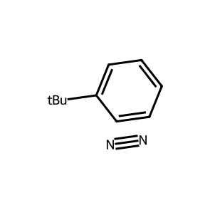 CC(C)(C)c1ccccc1.N#N